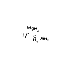 C.C.[AlH3].[MgH2]